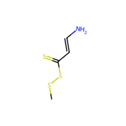 CSSC(=S)C=CN